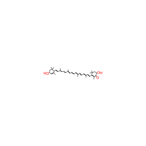 CC1=CC(O)CC(C)(C)C1/C=C/C(C)=C/C=C/C(C)=C/C=C/C=C(C)/C=C/C=C(C)/C=C/C1=C(C)C(=O)C(O)CC1(C)C